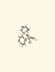 NS(=O)(=O)c1[c]cccc1-c1cncnc1